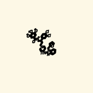 COc1cc(C(=O)N(C)CC(CCN2CCC(Nc3nc4ccccc4n3Cc3ccco3)CC2)c2ccc(Cl)c(Cl)c2)cc(OC)c1OC